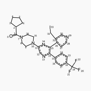 O=C(C1CCCC1)N1CCN(c2cnc(-c3ccc(C(F)(F)F)cc3)c(-c3ccncc3CI)n2)CC1